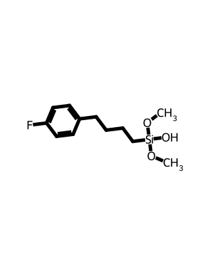 CO[Si](O)(CCCCc1ccc(F)cc1)OC